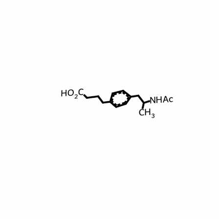 CC(=O)NC(C)Cc1ccc(CCCC(=O)O)cc1